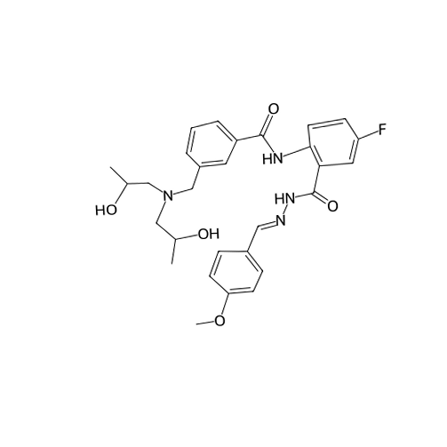 COc1ccc(C=NNC(=O)c2cc(F)ccc2NC(=O)c2cccc(CN(CC(C)O)CC(C)O)c2)cc1